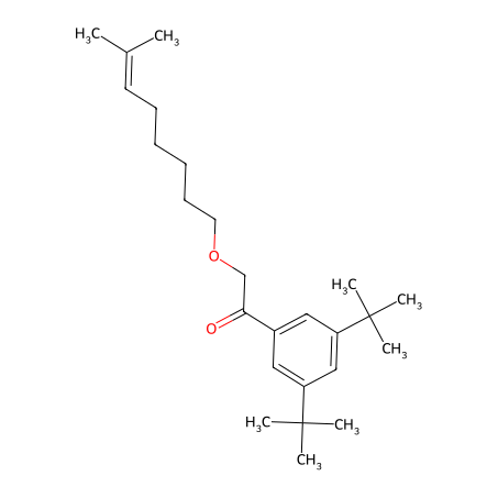 CC(C)=CCCCCCOCC(=O)c1cc(C(C)(C)C)cc(C(C)(C)C)c1